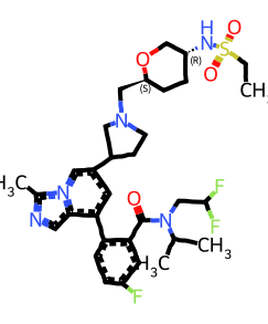 CCS(=O)(=O)N[C@@H]1CC[C@@H](CN2CCC(c3cc(-c4ccc(F)cc4C(=O)N(CC(F)F)C(C)C)c4cnc(C)n4c3)C2)OC1